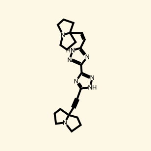 C(#CC12CCCN1CCC2)c1nc(-c2n[nH]c(/C=C\C34CCCN3CCC4)n2)n[nH]1